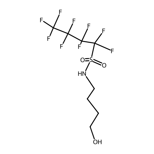 O=S(=O)(NCCCCO)C(F)(F)C(F)(F)C(F)(F)C(F)(F)F